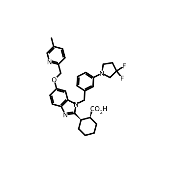 Cc1ccc(COc2ccc3nc([C@@H]4CCCC[C@@H]4C(=O)O)n(Cc4cccc(N5CCC(F)(F)C5)c4)c3c2)nc1